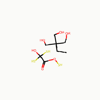 CCC(CO)(CO)CO.O=C(OS)C(O)(S)S